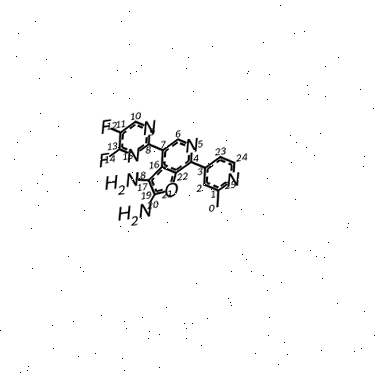 Cc1cc(-c2ncc(-c3ncc(F)c(F)n3)c3c(N)c(N)oc23)ccn1